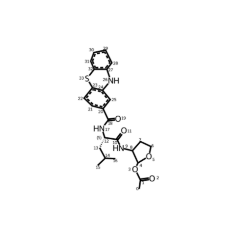 CC(=O)OC1OCCC1NC(=O)[C@H](CC(C)C)NC(=O)c1ccc2c(c1)Nc1ccccc1S2